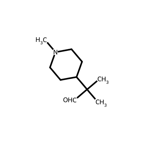 CN1CCC(C(C)(C)C=O)CC1